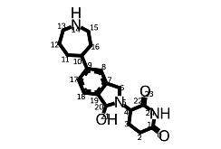 O=C1CCC(N2Cc3cc(C4CCCNCC4)ccc3C2O)C(=O)N1